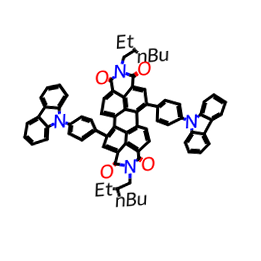 CCCCC(CC)CN1C(=O)c2ccc3c4c(-c5ccc(-n6c7ccccc7c7ccccc76)cc5)cc5c6c(ccc(c7c(-c8ccc(-n9c%10ccccc%10c%10ccccc%109)cc8)cc(c2c37)C1=O)c64)C(=O)N(CC(CC)CCCC)C5=O